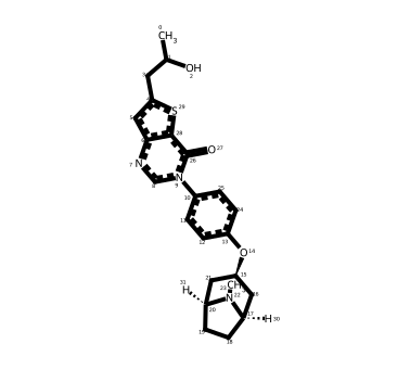 CC(O)Cc1cc2ncn(-c3ccc(O[C@H]4C[C@H]5CC[C@@H](C4)N5C)cc3)c(=O)c2s1